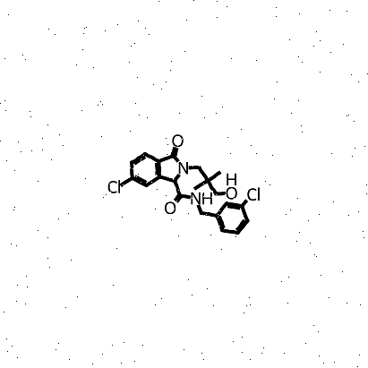 CC(C)(CO)CN1C(=O)c2ccc(Cl)cc2C1C(=O)NCc1cccc(Cl)c1